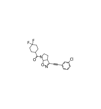 O=C(C1CCC(F)(F)CC1)N1CCC2C(C#Cc3cccc(Cl)c3)=NOC21